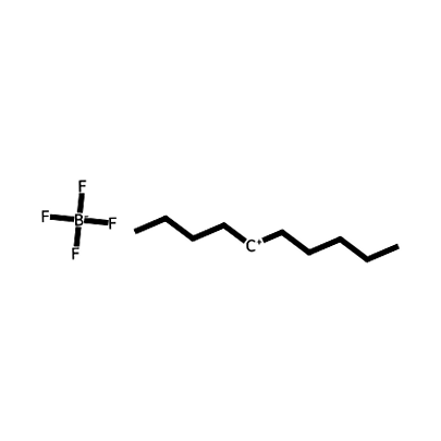 CCCC[CH+]CCCCC.F[B-](F)(F)F